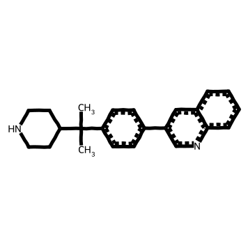 CC(C)(c1ccc(-c2cnc3ccccc3c2)cc1)C1CCNCC1